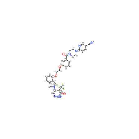 N#Cc1ccc(N2CCN(C(=O)C3=CC(OCCOc4cccc5c4CN(c4cn[nH]c(=O)c4C(F)(F)F)C5)CC=C3)CC2)nc1